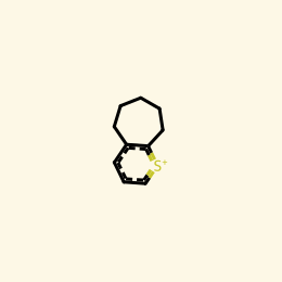 c1c[s+]c2c(c1)CCCCC2